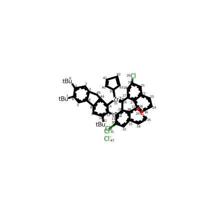 CC(C)(C)c1cc2c(cc1C(C)(C)C)-c1cc(C(C)(C)C)c(C(C)(C)C)[c]([Zr+2](=[C](c3cc(Cl)cc4ccccc34)c3cc(Cl)cc4ccccc34)[CH]3C=CC=C3)c1C2.[Cl-].[Cl-]